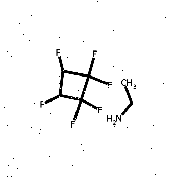 CCN.FC1C(F)C(F)(F)C1(F)F